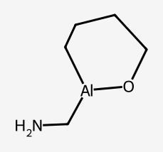 N[CH2][Al]1[CH2]CCC[O]1